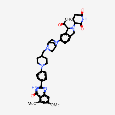 COc1cc(OC)c2c(=O)[nH]c(-c3ccc(N4CCC(CN5CC6CC5CN6c5ccc6c(c5)C(C(=O)C=O)N(C5CCC(=O)NC5=O)C6)CC4)cc3)nc2c1